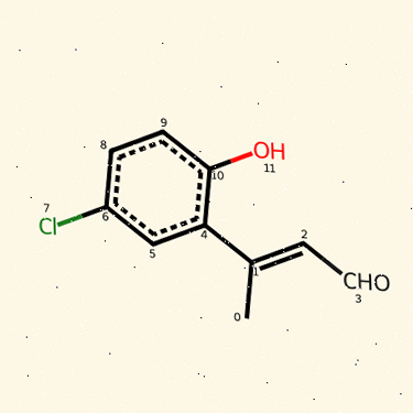 CC(=CC=O)c1cc(Cl)ccc1O